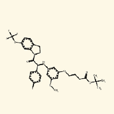 COc1cc(NC(C(=O)N2CCc3ccc(OC(F)(F)F)cc32)c2ccc(F)cc2)cc(OCCCC(=O)OC(C)(C)C)c1